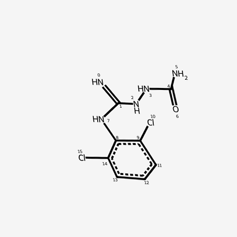 N=C(NNC(N)=O)Nc1c(Cl)cccc1Cl